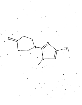 Cn1cc(C(F)(F)F)nc1N1CCC(=O)CC1